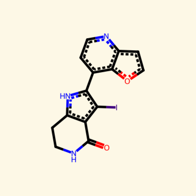 O=C1NCCc2[nH]c(-c3ccnc4ccoc34)c(I)c21